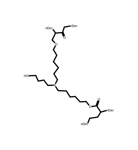 CCCCCCCCCCCCC(CCCCCCCCCC)C(=O)OCCCCCCN(CCCCO)CCCCCCOCC(CCCCCCCCCC)C(=O)CCCCCCCCCCC